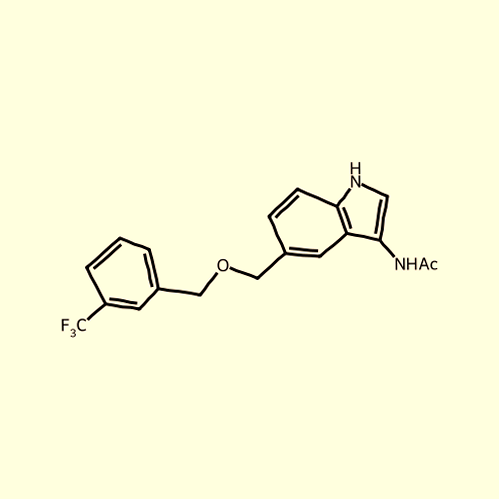 CC(=O)Nc1c[nH]c2ccc(COCc3cccc(C(F)(F)F)c3)cc12